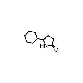 O=C1CCC(C2CCCCC2)N1